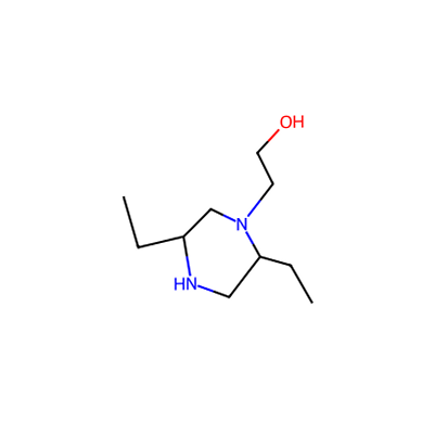 CCC1CN(CCO)C(CC)CN1